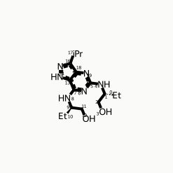 CC[C@H](CO)Nc1nc(N[C@H](CC)CO)c2[nH]nc(C(C)C)c2n1